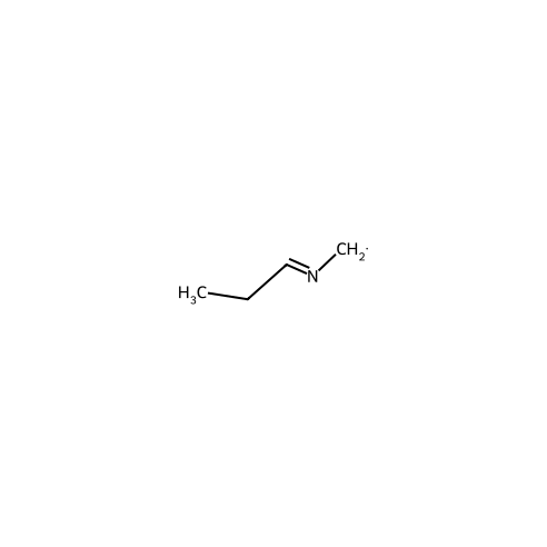 [CH2]N=CCC